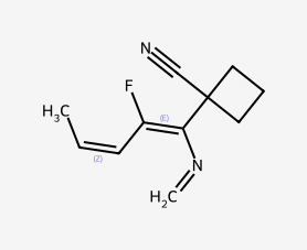 C=N/C(=C(F)\C=C/C)C1(C#N)CCC1